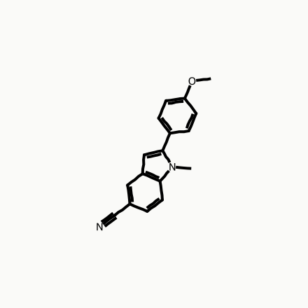 COc1ccc(-c2cc3cc(C#N)ccc3n2C)cc1